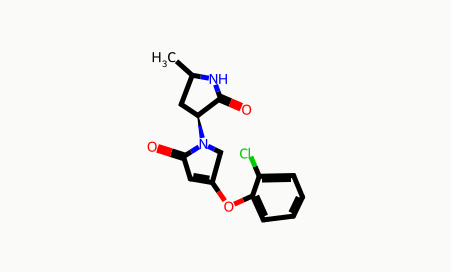 CC1C[C@H](N2CC(Oc3ccccc3Cl)=CC2=O)C(=O)N1